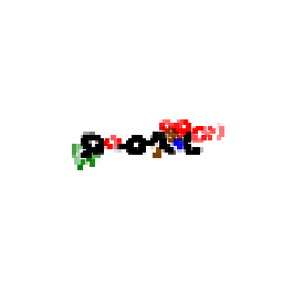 CCC(C(=O)O)N1Cc2sc(-c3ccc(COc4cccc(C(F)(F)F)c4)cc3)cc2S1(=O)=O